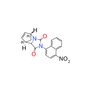 O=C1C2[C@H]3C=C[C@@H](C3)N2C(=O)N1c1ccc([N+](=O)[O-])c2ccccc12